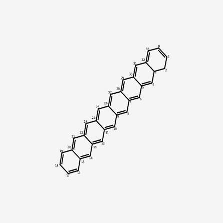 C1=CCC2C=c3cc4cc5cc6cc7cc8ccccc8cc7cc6cc5cc4cc3=CC2=C1